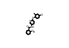 COc1ccccc1C(=O)Nc1ccc(Oc2ccc(Cl)cc2C)nc1